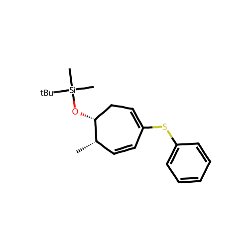 C[C@H]1C=CC(Sc2ccccc2)=CC[C@H]1O[Si](C)(C)C(C)(C)C